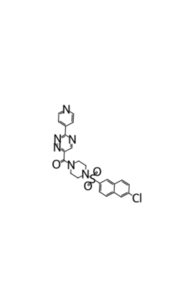 O=C(c1cnc(-c2ccncc2)nn1)N1CCN(S(=O)(=O)c2ccc3cc(Cl)ccc3c2)CC1